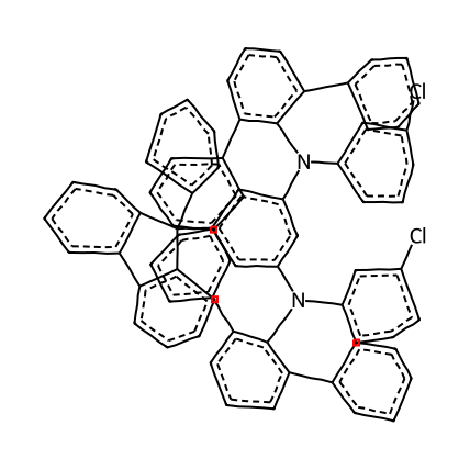 Clc1cccc(N(c2cc(N(c3cccc(Cl)c3)c3c(-c4ccccc4)cccc3-c3ccccc3)cc(C3(c4ccccc4)c4ccccc4-c4ccccc43)c2)c2c(-c3ccccc3)cccc2-c2ccccc2)c1